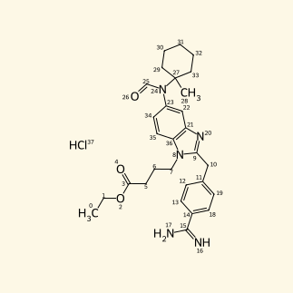 CCOC(=O)CCCn1c(Cc2ccc(C(=N)N)cc2)nc2cc(N(C=O)C3(C)CCCCC3)ccc21.Cl